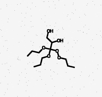 CCCOOC(OCCC)(OCCC)C(O)CO